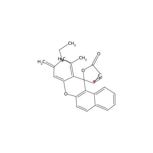 C=C(/C=C1/Oc2ccc3ccccc3c2C2(OC(=O)c3ccccc32)/C1=C/C)N(CC)CC